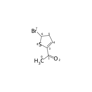 CC(=O)C1=CCC(Br)S1